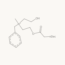 CCCCCCCCCCCC(=O)OCC[N+](C)(CCO)Cc1ccccc1